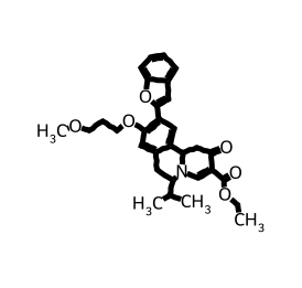 CCOC(=O)C1=CN2C(CC1=O)c1cc(-c3cc4ccccc4o3)c(OCCCOC)cc1CC2C(C)C